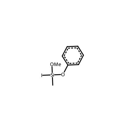 CO[Si](C)(I)Oc1ccccc1